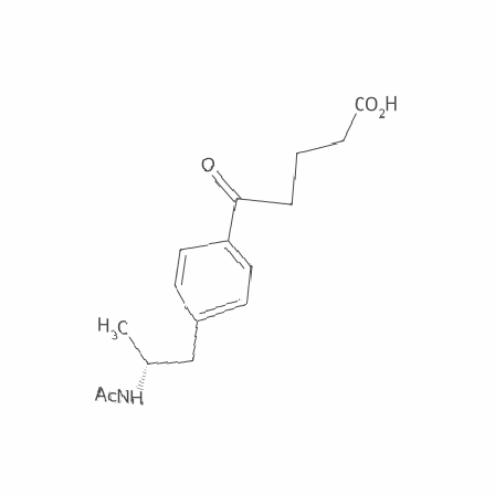 CC(=O)N[C@H](C)Cc1ccc(C(=O)CCCC(=O)O)cc1